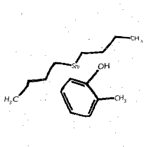 CCC[CH2][Sn][CH2]CCC.Cc1ccccc1O